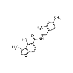 Cc1ccc(C=NNC(=O)c2ccc3occ(C)c3c2O)c(C)c1